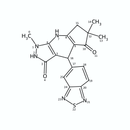 Cn1[nH]c(=O)c2c1NC1=C(C(=O)C(C)(C)C1)C2c1ccc2nsnc2c1